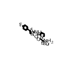 CC(C)(C)[C@H](N)C(=O)N1CCC[C@H]1C(=O)Nc1ncc(-c2ccc(F)cc2)s1